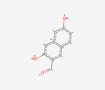 O=Cc1cc2ccc(O)cc2cc1O